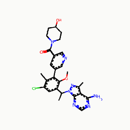 COc1c(C(C)n2nc(C)c3c(N)ncnc32)cc(Cl)c(C)c1-c1cncc(C(=O)N2CCC(O)CC2)c1